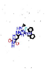 O=C1NC(=O)/C(=C/c2cnn3c(NC4CC4)nc(NCc4ccccc4-c4cccc(F)c4)nc23)N1